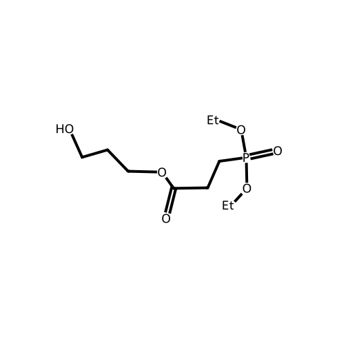 CCOP(=O)(CCC(=O)OCCCO)OCC